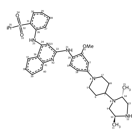 COc1cc(N2CCC(N3C[C@H](C)NC[C@H]3C)CC2)ccc1Nc1nc(Nc2ccccc2S(=O)(=O)C(C)C)c2ccccc2n1